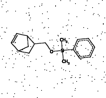 C[Si](C)(OCC1CC2C=CC1C2)c1ccccc1